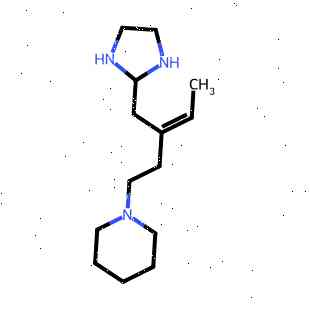 C/C=C(/CCN1CCCCC1)CC1NCCN1